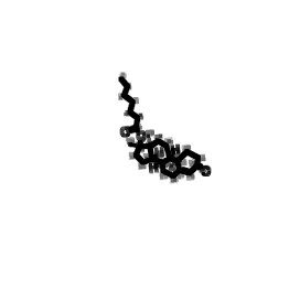 CCCCCCC(=O)O[C@@]1(C)CC[C@H]2[C@@H]3CCC4=CC(=O)CC[C@]4(C)[C@H]3CC[C@@]21C